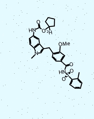 [2H]C1(OC(=O)Nc2ccc3c(c2)c(Cc2ccc(C(=O)NS(=O)(=O)c4ccccc4C)cc2OC)cn3C)CCCC1